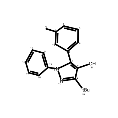 Cc1cccc(-c2c(O)c(C(C)(C)C)nn2-c2ccccc2)c1